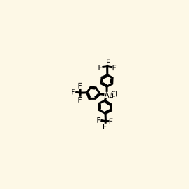 FC(F)(F)c1cc[c]([Au]([Cl])([c]2ccc(C(F)(F)F)cc2)[c]2ccc(C(F)(F)F)cc2)cc1